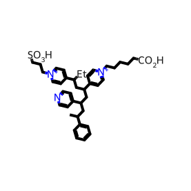 CCC(CC(CC(CC(C)c1ccccc1)c1ccncc1)c1cc[n+](CCCCCC(=O)O)cc1)c1cc[n+](CCCS(=O)(=O)O)cc1